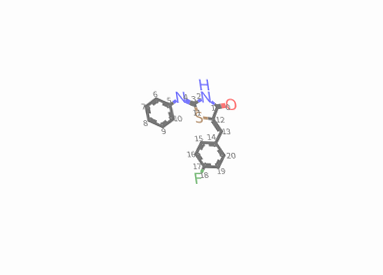 O=C1NC(=Nc2ccccc2)SC1=Cc1ccc(F)cc1